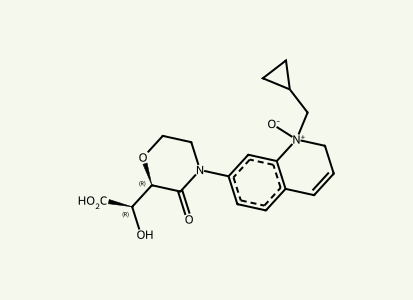 O=C(O)[C@H](O)[C@H]1OCCN(c2ccc3c(c2)[N+]([O-])(CC2CC2)CC=C3)C1=O